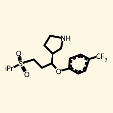 CC(C)S(=O)(=O)CCC(Oc1ccc(C(F)(F)F)cc1)[C@H]1CCNC1